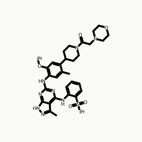 Cc1cc(Nc2nc(Nc3ccccc3S(=O)(=O)C(C)C)c3c(C)n[nH]c3n2)c(OC(C)C)cc1C1CCN(C(=O)CN2CCOCC2)CC1